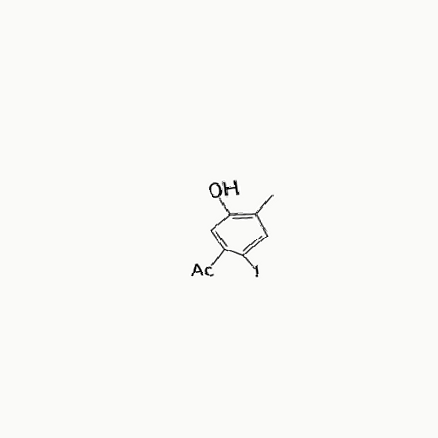 CC(=O)c1cc(O)c(C)cc1I